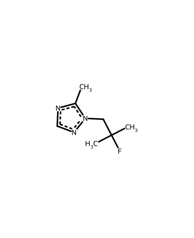 Cc1ncnn1CC(C)(C)F